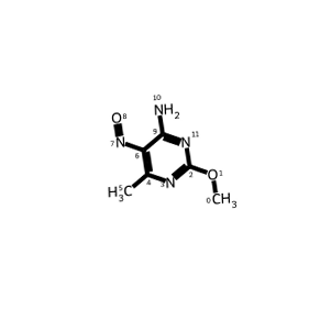 COc1nc(C)c(N=O)c(N)n1